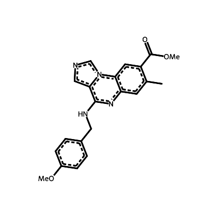 COC(=O)c1cc2c(cc1C)nc(NCc1ccc(OC)cc1)c1cncn12